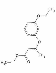 CCOC(=O)C=C(C)Oc1cccc(OCC)c1